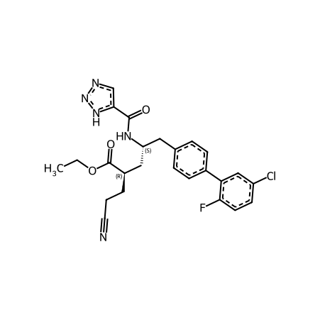 CCOC(=O)[C@H](CCC#N)C[C@@H](Cc1ccc(-c2cc(Cl)ccc2F)cc1)NC(=O)c1cnn[nH]1